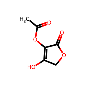 CC(=O)OC1=C(O)COC1=O